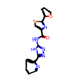 O=C(Nc1nnc(-c2ccccn2)[nH]1)c1csc(-c2ccco2)n1